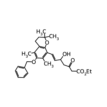 CCOC(=O)CC(=O)CC(O)/C=C/c1c(C)c(OCc2ccccc2)c(C)c2c1OC(C)(C)CC2